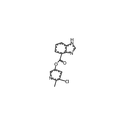 Cc1ncc(OC(=O)c2cccc3[nH]cnc23)cc1Cl